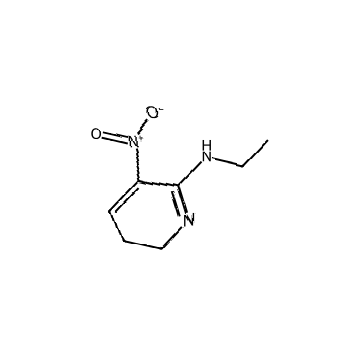 CCNC1=NCCC=C1[N+](=O)[O-]